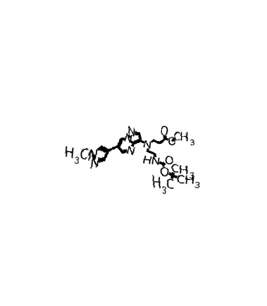 COC(=O)CCN(CCNC(=O)OC(C)(C)C)c1cnn2cc(-c3cnn(C)c3)cnc12